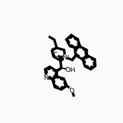 CCC1C[N+]2(Cc3c4ccccc4cc4ccccc34)CCC1CC2[C@@H](O)c1ccnc2ccc(OC)cc12